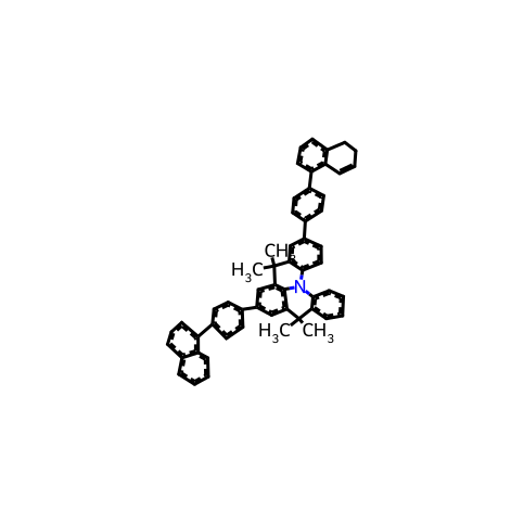 CC1(C)c2ccccc2N2c3ccc(-c4ccc(-c5cccc6c5C=CCC6)cc4)cc3C(C)(C)c3cc(-c4ccc(-c5cccc6ccccc56)cc4)cc1c32